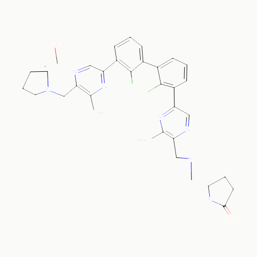 COc1nc(-c2cccc(-c3cccc(-c4cnc(CN5CCC[C@@H]5CO)c(OC)n4)c3Cl)c2Cl)cnc1CNC[C@@H]1CCC(=O)N1